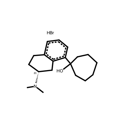 Br.CN(C)[C@@H]1CCc2cccc(C3(O)CCCCCC3)c2C1